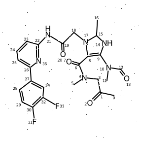 CC(=O)CN(C)C(=O)C1=C(N(C)C=O)NC(C)N1CC(=O)Nc1cccc(-c2ccc(F)c(F)c2)n1